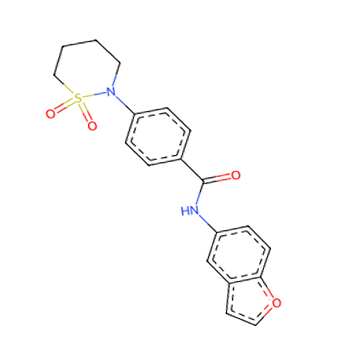 O=C(Nc1ccc2occc2c1)c1ccc(N2CCCCS2(=O)=O)cc1